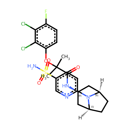 CC(C)(Oc1ccc(F)c(Cl)c1Cl)C(=O)N[C@H]1C[C@H]2CC[C@@H](C1)N2c1ccc(S(N)(=O)=O)cn1